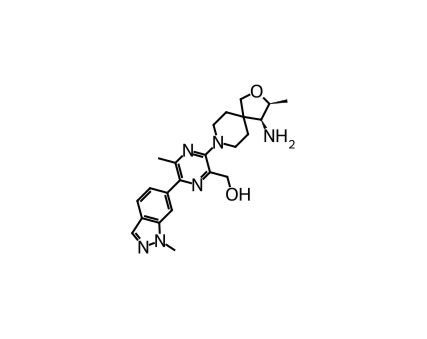 Cc1nc(N2CCC3(CC2)CO[C@@H](C)[C@H]3N)c(CO)nc1-c1ccc2cnn(C)c2c1